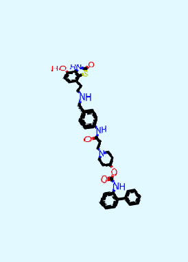 O=C(CCN1CCC(OC(=O)Nc2ccccc2-c2ccccc2)CC1)Nc1ccc(CNCCc2ccc(O)c3[nH]c(=O)sc23)cc1